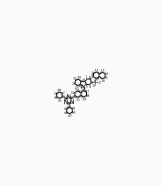 CC1(C)c2cc3c(cc2-c2ccc4ccccc4c21)c1ccccc1n3-c1cccc2cc(-c3nc(-c4ccccc4)nc(-c4ccccc4)n3)ccc12